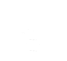 CCC1(c2cc(C)cc(C)c2O)CCCCC1